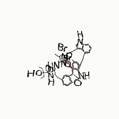 CCC(O)(CC)C(=O)N[C@H]1Cc2ccc3c(c2)[C@]24c5cc(Br)cc(c5NC2O3)-c2cccc3[nH]cc(c23)-c2oc(nc2Br)-c2nc(oc24)[C@H](C(C)C)NC1=O